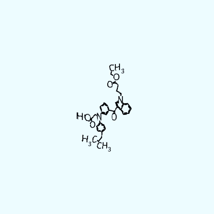 CCOC(=O)CCCn1cc(C(=O)c2cccc(N(CC(=O)O)c3ccc(CC(C)C)cc3)c2)c2ccccc21